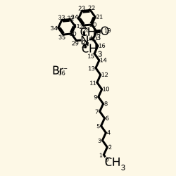 CCCCCCCCCCCCCCCCCC(C(=O)c1ccccc1)[N+](C)(C)Cc1ccccc1.[Br-]